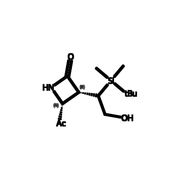 CC(=O)[C@@H]1NC(=O)[C@@H]1C(CO)[Si](C)(C)C(C)(C)C